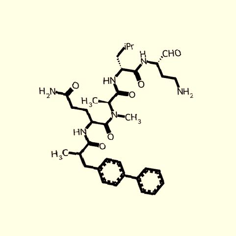 CC(C)C[C@@H](NC(=O)[C@H](C)N(C)C(=O)C(CCC(N)=O)NC(=O)C(C)Cc1ccc(-c2ccccc2)cc1)C(=O)N[C@H](C=O)CCN